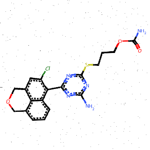 NC(=O)OCCCSc1nc(N)nc(-c2c(Cl)cc3c4c(cccc24)COC3)n1